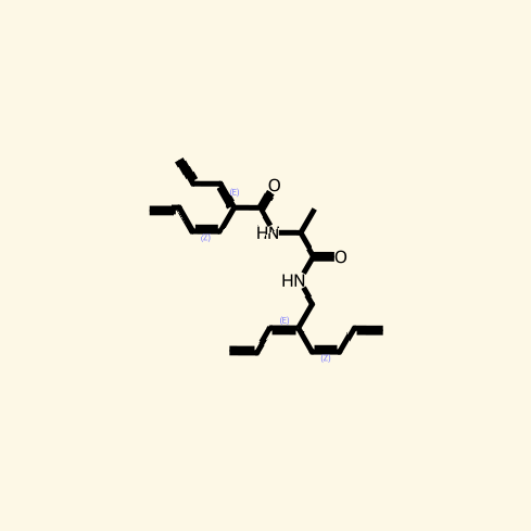 C=C/C=C\C(=C/C=C)CNC(=O)C(C)NC(=O)C(/C=C\C=C)=C/C=C